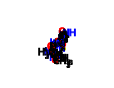 CCn1c(-c2cc(N3CCN(C4CC4)CC3)cnc2[C@H](C)OC)c2c3cc(ccc31)-c1csc(n1)C[C@H](NC(=O)C(C1CCCC1)N1CC[C@]3(CCN(C(=O)[C@@H]4NC4C4CC4)C3)C1)C(=O)N1CCC[C@H](N1)C(=O)OCC(C)(C)C2